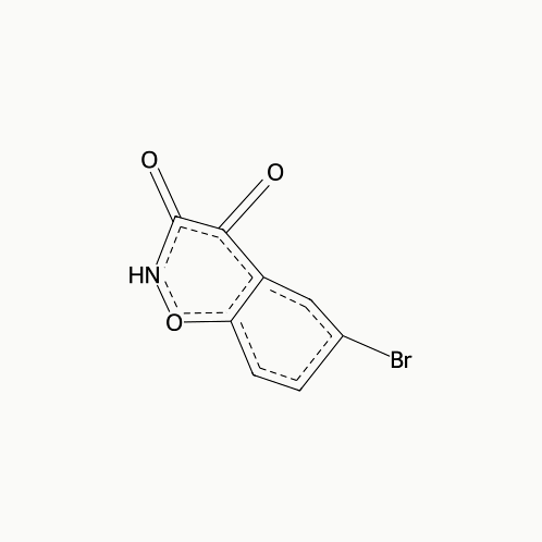 O=c1[nH]oc2ccc(Br)cc2c1=O